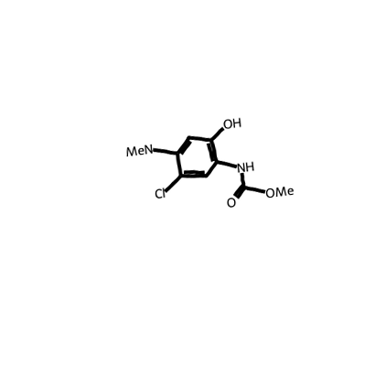 CNc1cc(O)c(NC(=O)OC)cc1Cl